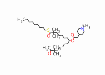 CCCCCCCCCSC(=O)C(C)(C)CCCCCC(CCCCCC(C)(C)C(C)=O)OC(=O)CC1CCN(C)CC1